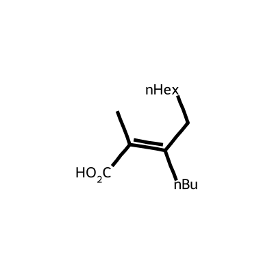 CCCCCCCC(CCCC)=C(C)C(=O)O